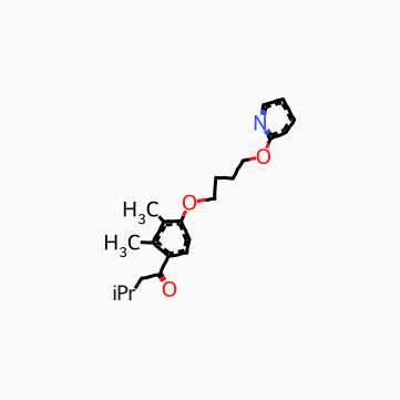 Cc1c(OCCCCOc2ccccn2)ccc(C(=O)CC(C)C)c1C